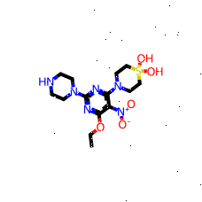 CCOc1nc(N2CCNCC2)nc(N2CCS(O)(O)CC2)c1[N+](=O)[O-]